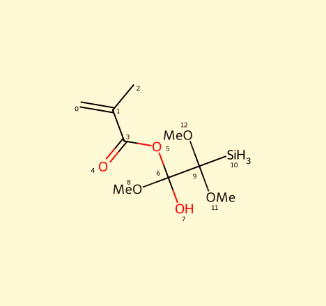 C=C(C)C(=O)OC(O)(OC)C([SiH3])(OC)OC